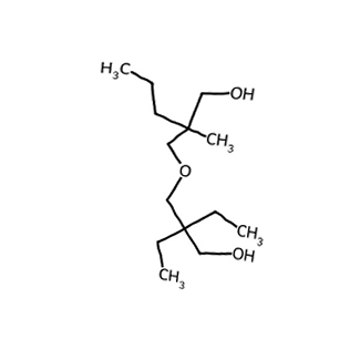 CCCC(C)(CO)COCC(CC)(CC)CO